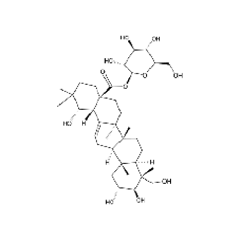 CC1(C)CC[C@]2(C(=O)O[C@@H]3O[C@H](CO)[C@@H](O)[C@H](O)[C@H]3O)CC[C@]3(C)C(=CC[C@@H]4[C@@]5(C)C[C@@H](O)[C@H](O)[C@@](C)(CO)[C@@H]5CC[C@]43C)[C@@H]2[C@@H]1O